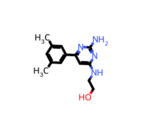 Cc1cc(C)cc(-c2cc(NCCO)nc(N)n2)c1